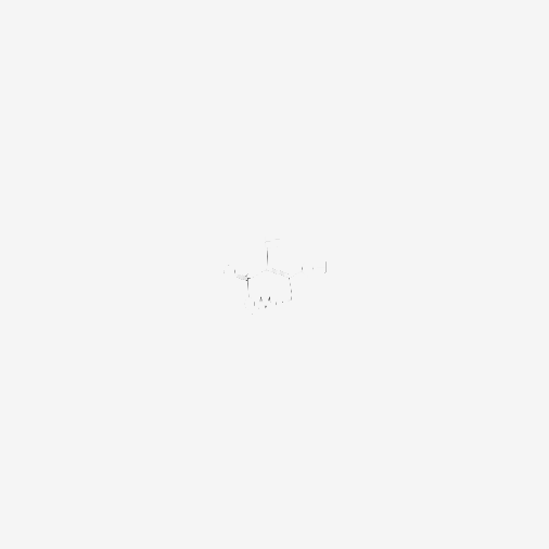 CCC(C(=O)OC)=C(C)O